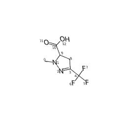 CN1N=C(C(F)(F)F)CC1C(=O)O